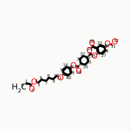 C=CC(=O)OCCCCCCOc1ccc(OC(=O)[C@H]2CC[C@H](C(=O)Oc3ccc(OC=O)cc3C=O)CC2)cc1